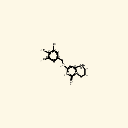 O=c1nc(OCc2cc(F)c(F)c(F)c2)cc2n1CCCN2